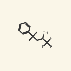 CC(C)(CC(O)C(F)(F)F)c1ccccc1